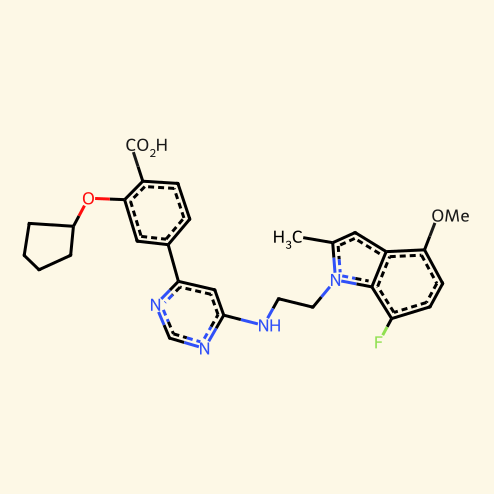 COc1ccc(F)c2c1cc(C)n2CCNc1cc(-c2ccc(C(=O)O)c(OC3CCCC3)c2)ncn1